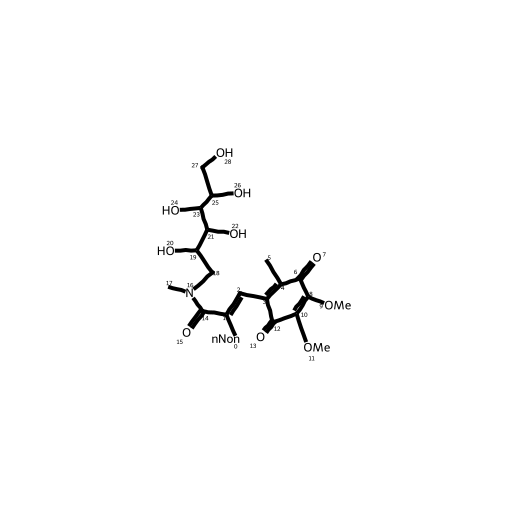 CCCCCCCCC/C(=C\C1=C(C)C(=O)C(OC)=C(OC)C1=O)C(=O)N(C)CC(O)C(O)C(O)C(O)CO